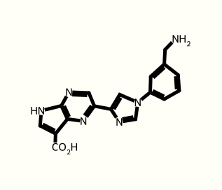 NCc1cccc(-n2cnc(-c3cnc4[nH]cc(C(=O)O)c4n3)c2)c1